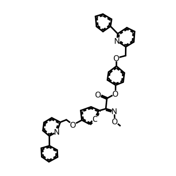 CON=C(C(=O)Oc1ccc(OCc2cccc(-c3ccccc3)n2)cc1)c1ccc(OCc2cccc(-c3ccccc3)n2)cc1